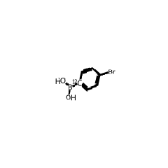 OB(O)[12c]1ccc(Br)cc1